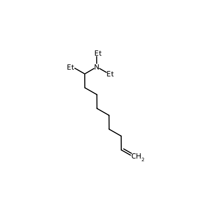 C=CCCCCCCC(CC)N(CC)CC